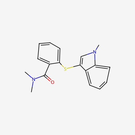 CN(C)C(=O)c1ccccc1Sc1cn(C)c2ccccc12